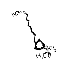 CCCCCCCCCCCCCCCCCCc1ccc([SH](C)(C)=O)cc1